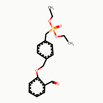 CCOP(=O)(Cc1ccc(COc2ccccc2C=O)cc1)OCC